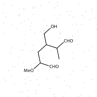 COC(C=O)CC(CO)C(C)C=O